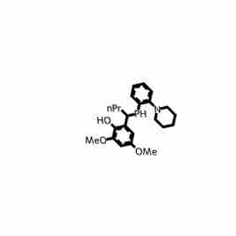 CCCC(Pc1ccccc1N1CCCCC1)c1cc(OC)cc(OC)c1O